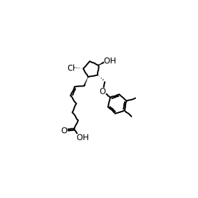 Cc1ccc(OC[C@@H]2[C@@H](C/C=C\CCCC(=O)O)[C@H](Cl)C[C@H]2O)cc1C